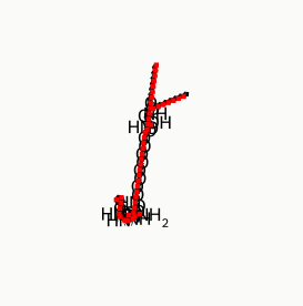 CCCCCCCCCCCCCCOCC(CNC(=O)CC[C@H](NC(=O)CCOCCOCCOCCOCCOCCOCCOCCOCCNC(=O)C=CC(=O)N(CC(N)=O)NC(=O)[C@H](C)NC(=O)[C@H](C)NC(=O)OCc1ccccc1)C(=O)O)OCCCCCCCCCCCCCC